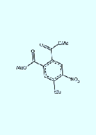 COC(=O)c1cc([N+](=O)[O-])c(C(C)(C)C)cc1C(=O)OC